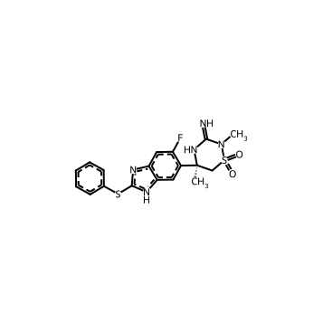 CN1C(=N)N[C@](C)(c2cc3[nH]c(Sc4ccccc4)nc3cc2F)CS1(=O)=O